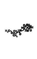 CCOC(C)(C)CCC(=O)NCCCC(O)(P(=O)(O)O)P(=O)(O)O